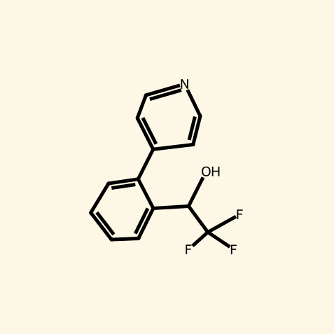 OC(c1ccccc1-c1ccncc1)C(F)(F)F